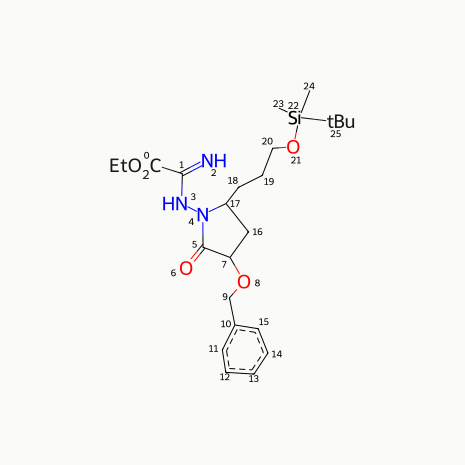 CCOC(=O)C(=N)NN1C(=O)C(OCc2ccccc2)CC1CCCO[Si](C)(C)C(C)(C)C